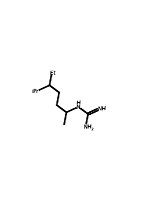 CCC(CCC(C)NC(=N)N)C(C)C